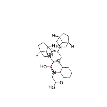 O=C(O)CN(CC(=O)N1C[C@H]2CC[C@@H](C1)C2O)C1CCCCC1N(CC(=O)O)CC(=O)N1C[C@H]2CC[C@@H](C1)C2O